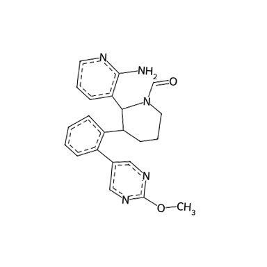 COc1ncc(-c2ccccc2C2CCCN(C=O)C2c2cccnc2N)cn1